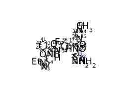 CCn1nccc1C(=O)N[C@H](C(=O)Nc1ccc(C[C@@H](NC(=O)/C(=C/N)SN)C(=O)N2CCN(C)CC2)cc1F)C1CCCCC1